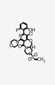 C=CS(=O)(=O)N1CCN2C(=O)c3c(N4CCOCC4)nc(-c4c(O)cccc4F)c(Cl)c3OC[C@H]2C1